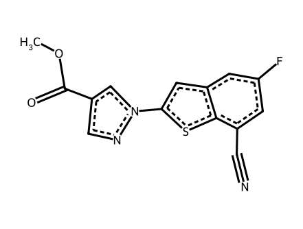 COC(=O)c1cnn(-c2cc3cc(F)cc(C#N)c3s2)c1